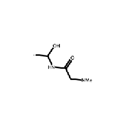 [CH2]C(O)NC(=O)CNC